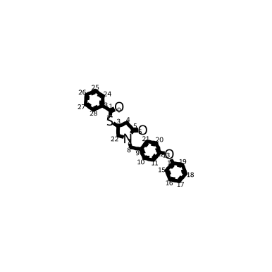 O=C(SC1CC(=O)N(Cc2ccc(Oc3ccccc3)cc2)C1)c1ccccc1